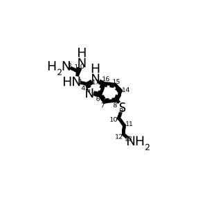 N=C(N)Nc1nc2cc(SCCCN)ccc2[nH]1